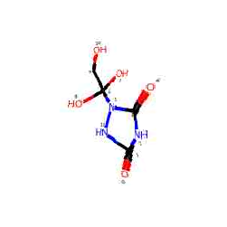 O=c1[nH]c(=O)n(C(O)(O)CO)[nH]1